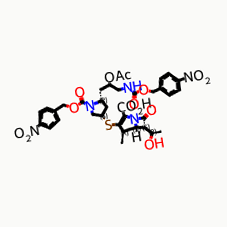 CC(=O)OC(CNC(=O)OCc1ccc([N+](=O)[O-])cc1)C[C@@H]1C[C@H](SC2=C(C(=O)O)N3C(=O)[C@H]([C@@H](C)O)[C@H]3[C@H]2C)CN1C(=O)OCc1ccc([N+](=O)[O-])cc1